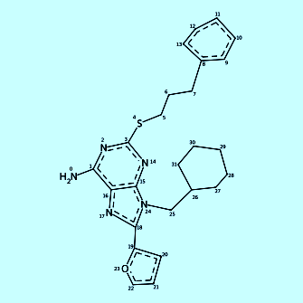 Nc1nc(SCCCc2ccccc2)nc2c1nc(-c1ccco1)n2CC1CCCCC1